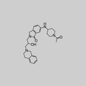 CC(=O)N1CCC(Nc2ccc3c(c2)C(=O)N(CC(O)CN2CCc4ccccc4C2)C3)CC1